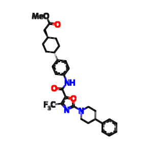 COC(=O)C[C@H]1CC[C@H](c2ccc(NC(=O)c3oc(N4CCC(c5ccccc5)CC4)nc3C(F)(F)F)cc2)CC1